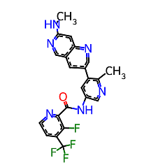 CNc1cc2ncc(-c3cc(NC(=O)c4nccc(C(F)(F)F)c4F)cnc3C)cc2cn1